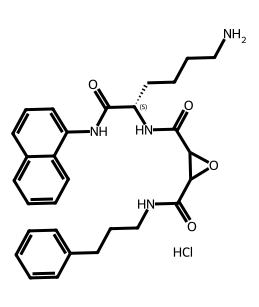 Cl.NCCCC[C@H](NC(=O)C1OC1C(=O)NCCCc1ccccc1)C(=O)Nc1cccc2ccccc12